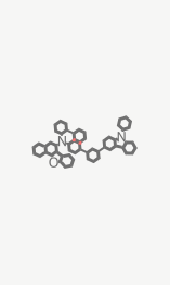 c1ccc(-c2ccccc2N(c2ccc(-c3cccc(-c4ccc5c(c4)c4ccccc4n5-c4ccccc4)c3)cc2)c2cc3ccccc3c3oc4ccccc4c23)cc1